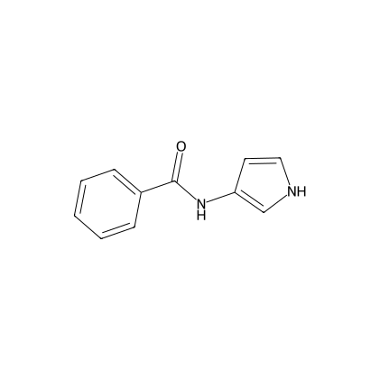 O=C(Nc1cc[nH]c1)c1ccccc1